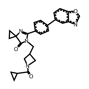 O=C(C1CC1)N1CC(CN2C(=O)C3(CC3)N=C2c2ccc(-c3ccc4ocnc4c3)cc2)C1